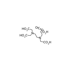 O=C(O)CN(CCN(CC(=O)O)CC(=O)O)CC(=O)O.O=C=O